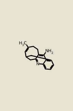 C/C1=C/C2Cc3nc4cccc(c4c(N)c3CC1)C2